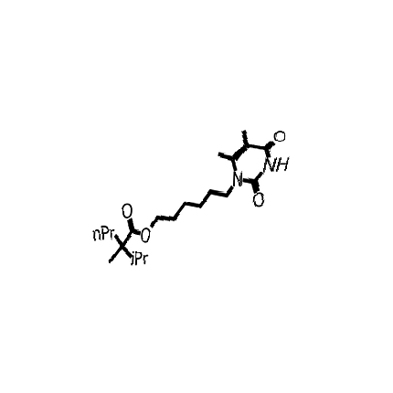 CCCC(C)(C(=O)OCCCCCCn1c(C)c(C)c(=O)[nH]c1=O)C(C)C